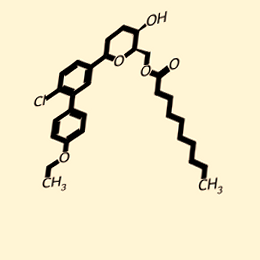 CCCCCCCCCC(=O)OC[C@H]1OC(c2ccc(Cl)c(-c3ccc(OCC)cc3)c2)CC[C@H]1O